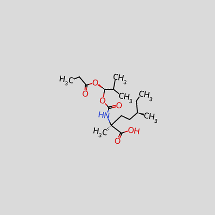 CCC(=O)O[C@H](OC(=O)N[C@@](C)(CC[C@H](C)CC)C(=O)O)C(C)C